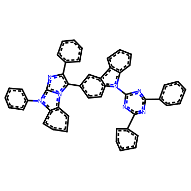 c1ccc(-c2nc(-c3ccccc3)nc(-n3c4ccccc4c4cc(-c5c(-c6ccccc6)nc6n(-c7ccccc7)c7ccccc7n56)ccc43)n2)cc1